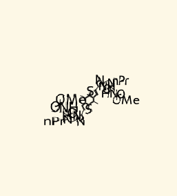 CCCN(Cc1ncc(-c2cc3c(C)c4sc(-c5cnc(CN(CCC)C(=O)CNC(=O)OC)[nH]5)cc4c(C)c3s2)[nH]1)C(=O)CNC(=O)OC